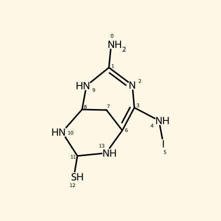 NC1=NC(NI)=C2CC(N1)NC(S)N2